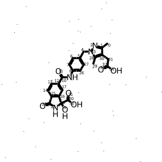 Cc1nn(Cc2ccc(NC(=O)c3ccc4c(c3)C(O)(C(=O)O)NC4=O)cc2)c(C)c1CC(=O)O